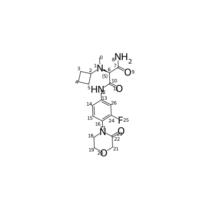 CN(C1CCC1)[C@@H](C(N)=O)C(=O)Nc1ccc(N2CCOCC2=O)c(F)c1